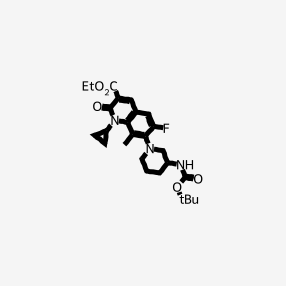 CCOC(=O)c1cc2cc(F)c(N3CCCC(NC(=O)OC(C)(C)C)C3)c(C)c2n(C2CC2)c1=O